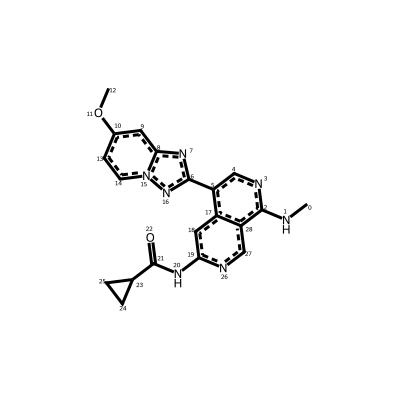 CNc1ncc(-c2nc3cc(OC)ccn3n2)c2cc(NC(=O)C3CC3)ncc12